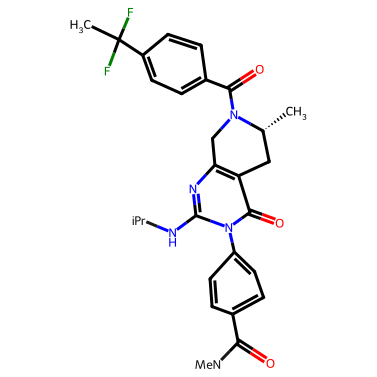 CNC(=O)c1ccc(-n2c(NC(C)C)nc3c(c2=O)C[C@@H](C)N(C(=O)c2ccc(C(C)(F)F)cc2)C3)cc1